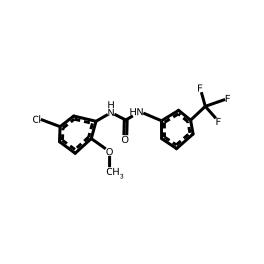 COc1ccc(Cl)cc1NC(=O)Nc1cccc(C(F)(F)F)c1